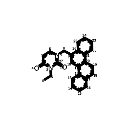 CCn1c(=O)ccn(Cc2cc3c4ccccc4ccc3c3ccccc23)c1=O